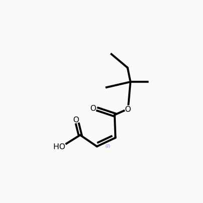 CCC(C)(C)OC(=O)/C=C\C(=O)O